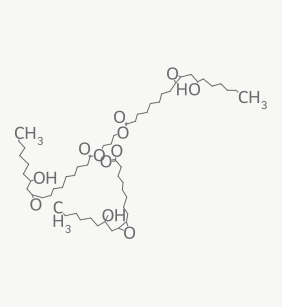 CCCCCCC(O)CC1OC1CCCCCCCC(=O)OCC(COC(=O)CCCCCCCC1OC1CC(O)CCCCCC)OC(=O)CCCCCCCC1OC1CC(O)CCCCCC